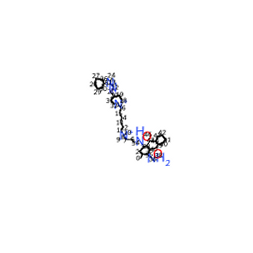 Cc1cc(NCCC[N+](C)(C)CCCCCC[n+]2ccc(/C=N/N(C)c3ccccc3)cc2)c2c(c1N)C(=O)c1ccccc1C2=O